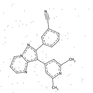 Cc1cc(-c2c(-c3cccc(C#N)c3)nn3cccnc23)cc(C)n1